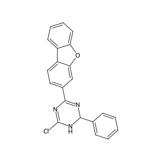 ClC1=NC(c2ccc3c(c2)oc2ccccc23)=NC(c2ccccc2)N1